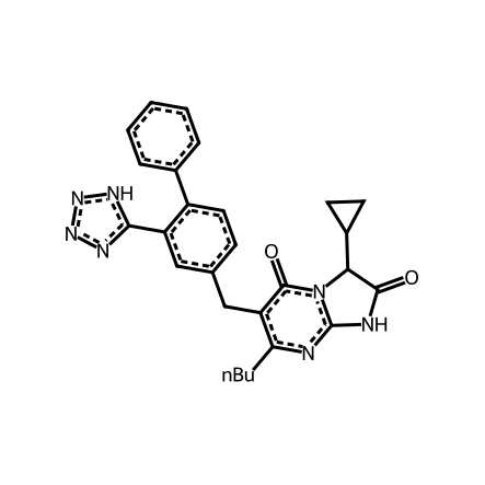 CCCCc1nc2n(c(=O)c1Cc1ccc(-c3ccccc3)c(-c3nnn[nH]3)c1)C(C1CC1)C(=O)N2